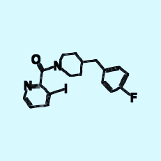 O=C(c1ncccc1I)N1CCC(Cc2ccc(F)cc2)CC1